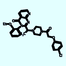 CCOc1ccccc1-n1c(C(C)N2CCN(C(=O)COc3ccc(Cl)cc3)CC2)nc2ncccc2c1=O